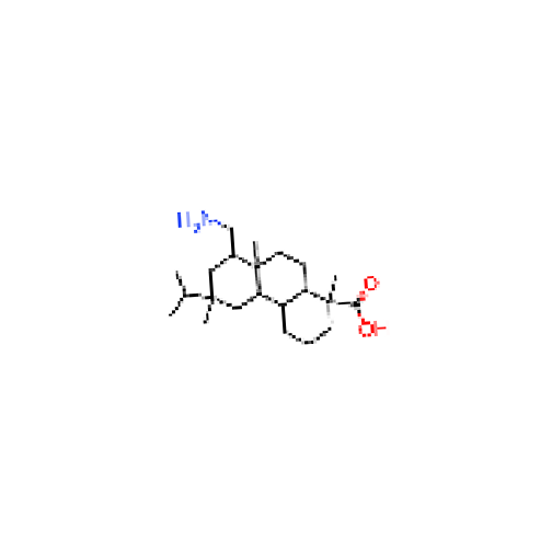 CC(C)C1(C)CC(CN)C2(C)CCC3C(CCCC3(C)C(=O)O)C2C1